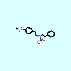 Cc1ccc(CCN2CC(c3ccccc3)OC2=O)cc1